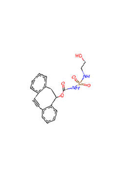 O=C(NS(=O)(=O)NCCO)OC1Cc2ccccc2C#Cc2ccccc21